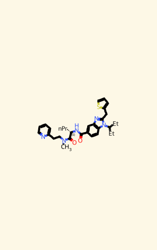 CCC[C@H](NC(=O)c1ccc2c(c1)nc(Cc1cccs1)n2C(CC)CC)C(=O)N(C)CCc1ccccn1